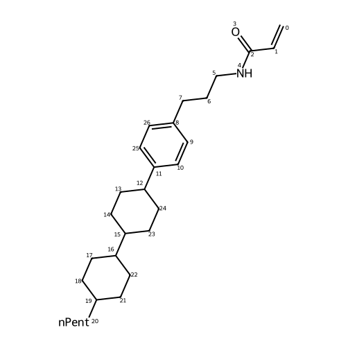 C=CC(=O)NCCCc1ccc(C2CCC(C3CCC(CCCCC)CC3)CC2)cc1